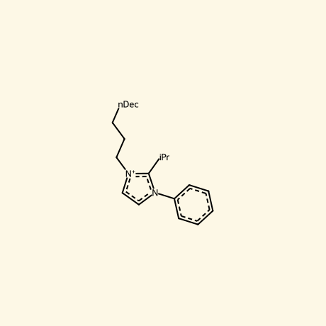 CCCCCCCCCCCCC[n+]1ccn(-c2ccccc2)c1C(C)C